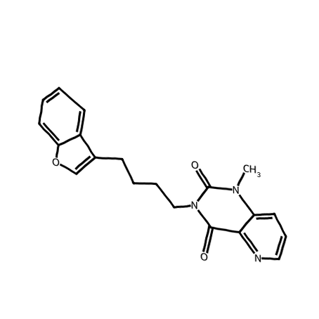 Cn1c(=O)n(CCCCc2coc3ccccc23)c(=O)c2ncccc21